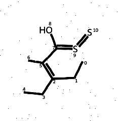 CCC(CC)=C(C)C(O)=S=S